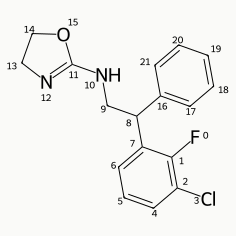 Fc1c(Cl)cccc1C(CNC1=NCCO1)c1ccccc1